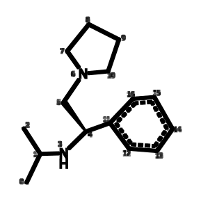 CC(C)N[C@@H](CN1CCCC1)c1ccccc1